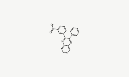 O=[N+]([O-])c1cccc(-c2nc3ccccc3nc2-c2ccccc2)c1